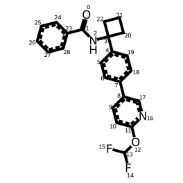 O=C(NC1(c2ccc(-c3ccc(OC(F)F)nc3)cc2)CCC1)c1ccccc1